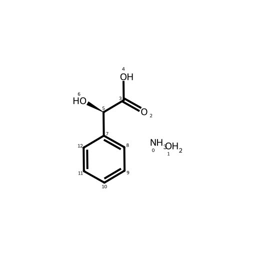 N.O.O=C(O)[C@H](O)c1ccccc1